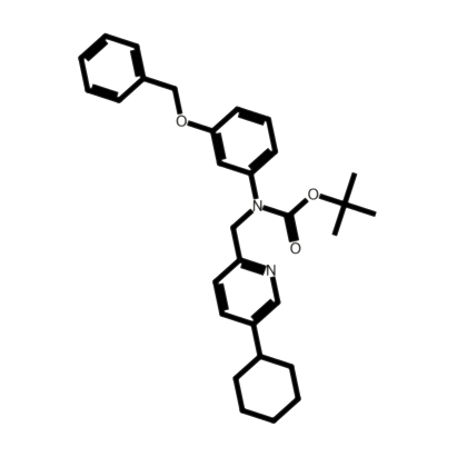 CC(C)(C)OC(=O)N(Cc1ccc(C2CCCCC2)cn1)c1cccc(OCc2ccccc2)c1